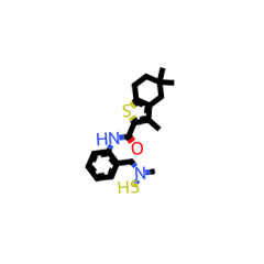 Cc1c(C(=O)Nc2ccccc2CN(C)S)sc2c1CC(C)(C)CC2